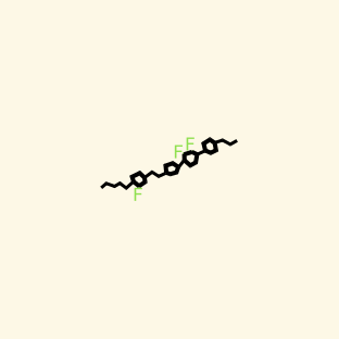 CCCCCc1ccc(CCc2ccc(-c3ccc(-c4ccc(CCC)cc4)c(F)c3F)cc2)cc1F